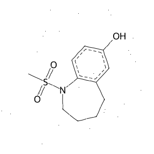 CS(=O)(=O)N1CCCCc2cc(O)ccc21